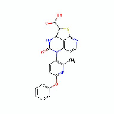 Cc1nc(Oc2ccccc2)ccc1N1C(=O)NC2c3c1ccnc3SC2C(=O)O